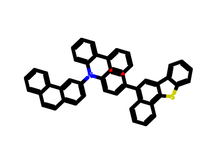 c1ccc(-c2ccccc2N(c2ccc(-c3cc4c5ccccc5sc4c4ccccc34)cc2)c2ccc3ccc4ccccc4c3c2)cc1